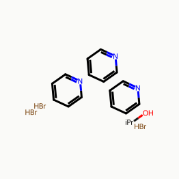 Br.Br.Br.CC(C)O.c1ccncc1.c1ccncc1.c1ccncc1